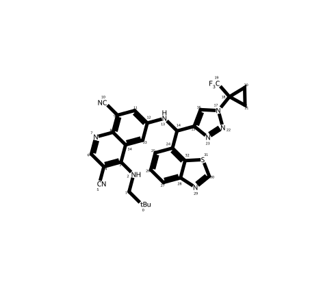 CC(C)(C)CNc1c(C#N)cnc2c(C#N)cc(NC(c3cn(C4(C(F)(F)F)CC4)nn3)c3cccc4ncsc34)cc12